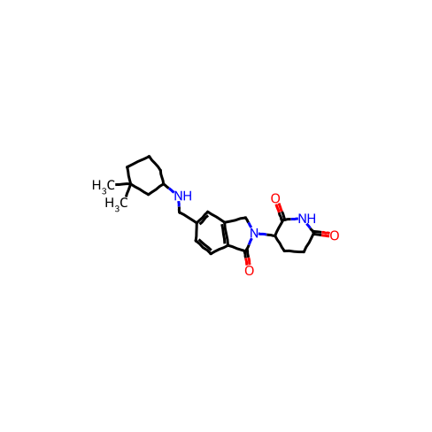 CC1(C)CCCC(NCc2ccc3c(c2)CN(C2CCC(=O)NC2=O)C3=O)C1